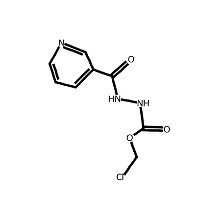 O=C(NNC(=O)c1cccnc1)OCCl